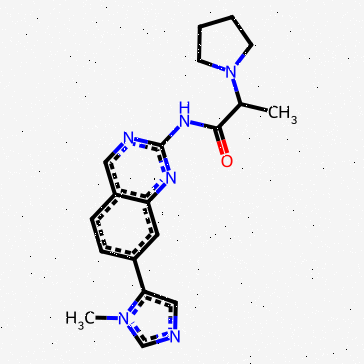 CC(C(=O)Nc1ncc2ccc(-c3cncn3C)cc2n1)N1CCCC1